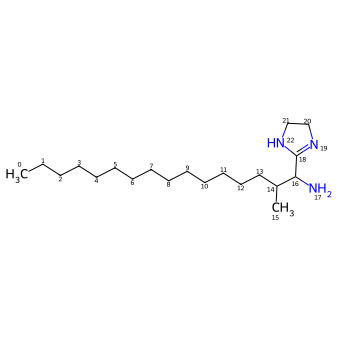 CCCCCCCCCCCCCCC(C)C(N)C1=NCCN1